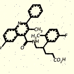 Cc1ccc(F)cc1C(CCC(=O)O)CNC(=O)c1c(C)c(-c2ccccc2)nc2ccc(Br)cc12